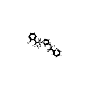 CC(c1ccccc1F)S(=O)(=O)n1ccc(NC(=O)c2ccccn2)c1